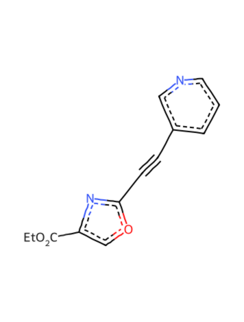 CCOC(=O)c1coc(C#Cc2cccnc2)n1